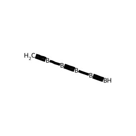 B=BB=BB=C